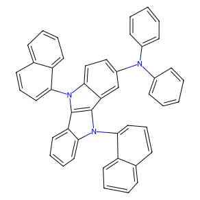 c1ccc(N(c2ccccc2)c2ccc3c(c2)c2c(c4ccccc4n2-c2cccc4ccccc24)n3-c2cccc3ccccc23)cc1